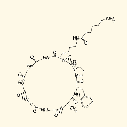 C[C@@H]1NC(=O)CNC(=O)CNC(=O)CNC(=O)CNC(=O)CNC(=O)[C@H](CCCCNC(=O)CCCCCN)N(C)C(=O)[C@H]2CCCN2C(=O)[C@H](Cc2ccccc2)NC1=O